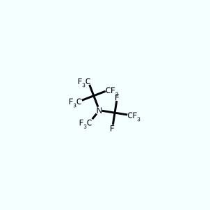 FC(F)(F)N(C(F)(F)C(F)(F)F)C(C(F)(F)F)(C(F)(F)F)C(F)(F)F